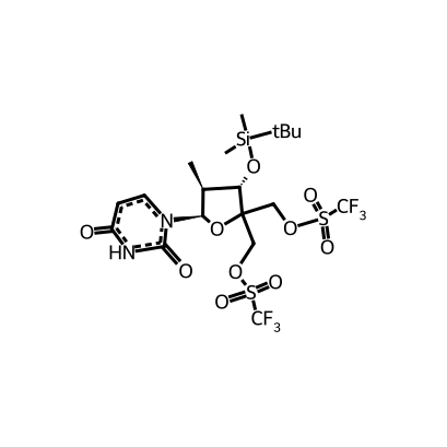 C[C@@H]1[C@H](n2ccc(=O)[nH]c2=O)OC(COS(=O)(=O)C(F)(F)F)(COS(=O)(=O)C(F)(F)F)[C@H]1O[Si](C)(C)C(C)(C)C